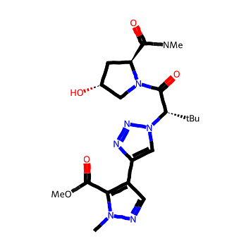 CNC(=O)[C@@H]1C[C@@H](O)CN1C(=O)[C@@H](n1cc(-c2cnn(C)c2C(=O)OC)nn1)C(C)(C)C